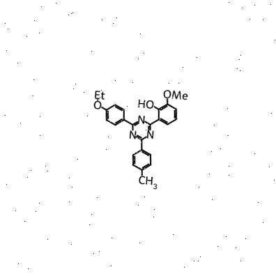 CCOc1ccc(-c2nc(-c3ccc(C)cc3)nc(-c3cccc(OC)c3O)n2)cc1